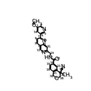 COc1cncc(-c2ccc3cnc(CNC(=O)c4ccc5c(c4)[C@](C)(C#N)COC5)cc3n2)c1